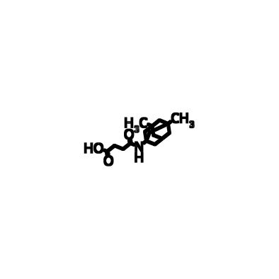 CC12CC3CC(C)(C1)CC(NC(=O)CCC(=O)O)(C3)C2